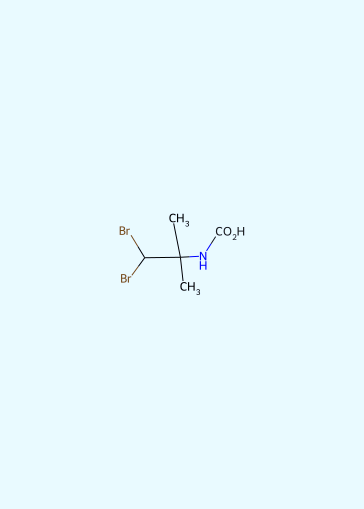 CC(C)(NC(=O)O)C(Br)Br